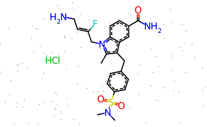 Cc1c(Cc2ccc(S(=O)(=O)N(C)C)cc2)c2cc(C(N)=O)ccc2n1CC(F)=CCN.Cl